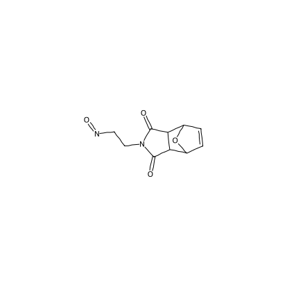 O=NCCN1C(=O)C2C3C=CC(O3)C2C1=O